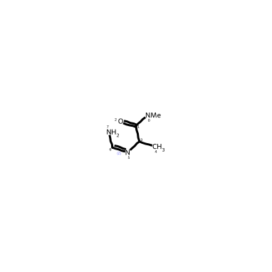 CNC(=O)C(C)/N=C\N